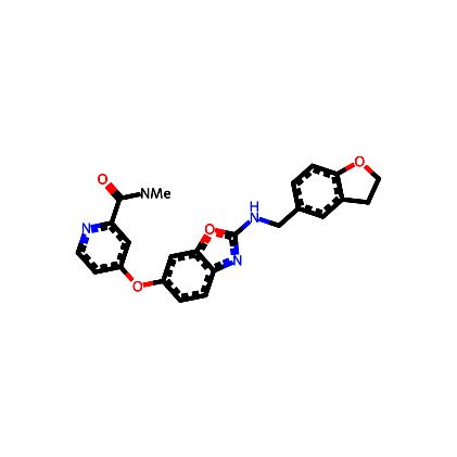 CNC(=O)c1cc(Oc2ccc3nc(NCc4ccc5c(c4)CCO5)oc3c2)ccn1